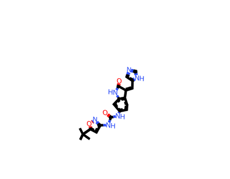 CC(C)(C)c1cc(NC(=O)Nc2ccc3c(c2)NC(=O)/C3=C\c2cnc[nH]2)no1